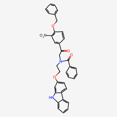 O=C(CN(CCOc1ccc2c(c1)[nH]c1ccccc12)C(=O)c1ccccc1)c1ccc(OCc2ccccc2)c([N+](=O)[O-])c1